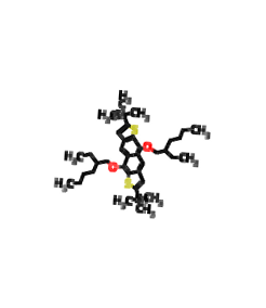 CCCCC(CC)COc1c2cc3c[c]([Sn]([CH3])([CH3])[CH3])sc3c(OCC(CC)CCCC)c2cc2c[c]([Sn]([CH3])([CH3])[CH3])sc12